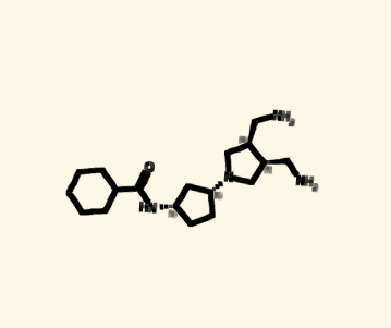 NC[C@@H]1CN([C@@H]2CC[C@H](NC(=O)C3CCCCC3)C2)C[C@@H]1CN